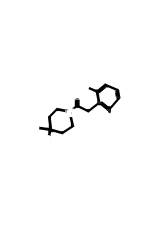 CC(C)(C)C1(C)CCN(C(=O)Cc2c(F)cccc2F)CC1